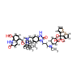 CN(CCCn1c(=O)[nH]c2cc(CNC[C@H](O[Si](C)(C)C(C)(C)C)c3ccc(O)c4[nH]c(=O)ccc34)ccc21)[C@H]1CC[C@H](OC(C(=O)O)(c2cccs2)c2cccs2)CC1